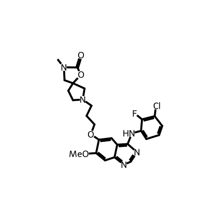 COc1cc2ncnc(Nc3cccc(Cl)c3F)c2cc1OCCCN1CCC2(C1)CN(C)C(=O)O2